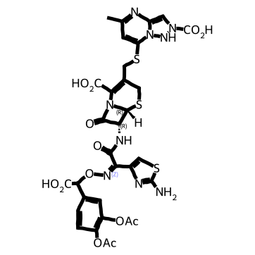 CC(=O)Oc1ccc(C(O/N=C(\C(=O)N[C@@H]2C(=O)N3C(C(=O)O)=C(CSC4=CC(C)=NC5=CN(C(=O)O)NN54)CS[C@H]23)c2csc(N)n2)C(=O)O)cc1OC(C)=O